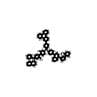 Cc1cc(N(c2ccc(-c3ccc4c5ccccc5c5ccccc5c4c3)cc2)c2ccc(-c3ccc(-c4cccc5c4oc4ccccc45)c4ccccc34)cc2)ccc1-c1ccc(N(c2ccccc2)c2cccc3ccccc23)cc1C